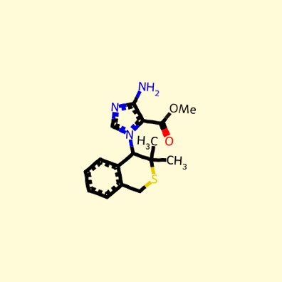 COC(=O)c1c(N)ncn1C1c2ccccc2CSC1(C)C